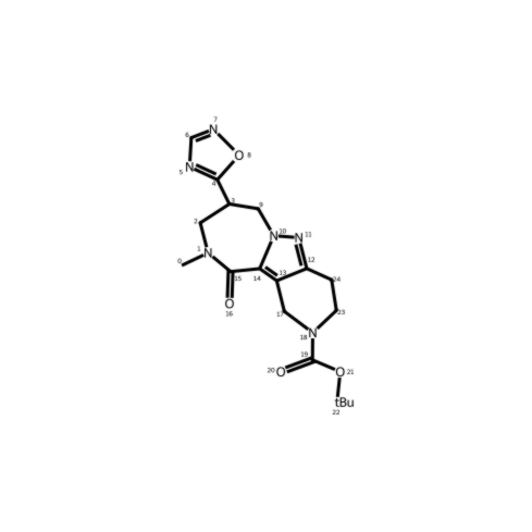 CN1CC(c2ncno2)Cn2nc3c(c2C1=O)CN(C(=O)OC(C)(C)C)CC3